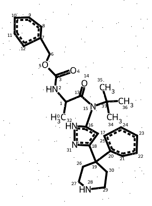 CC(NC(=O)OCc1ccccc1)C(=O)N(c1cc(C2(c3ccccc3)CCNCC2)n[nH]1)C(C)(C)C